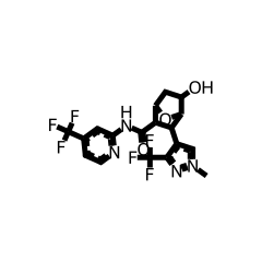 Cn1cc(C2C3OC(CC3O)C2C(=O)Nc2cc(C(F)(F)F)ccn2)c(C(F)(F)F)n1